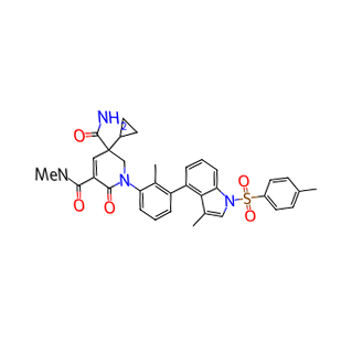 CNC(=O)C1=CC(C(N)=O)(C2CC2)CN(c2cccc(-c3cccc4c3c(C)cn4S(=O)(=O)c3ccc(C)cc3)c2C)C1=O